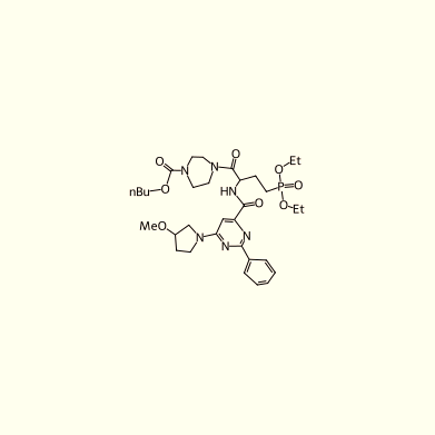 CCCCOC(=O)N1CCN(C(=O)C(CCP(=O)(OCC)OCC)NC(=O)c2cc(N3CCC(OC)C3)nc(-c3ccccc3)n2)CC1